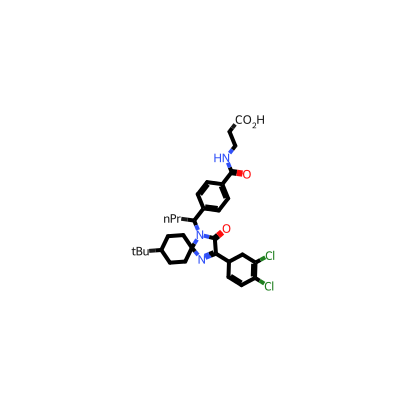 CCCC(c1ccc(C(=O)NCCC(=O)O)cc1)N1C(=O)C(C2C=CC(Cl)=C(Cl)C2)=NC12CCC(C(C)(C)C)CC2